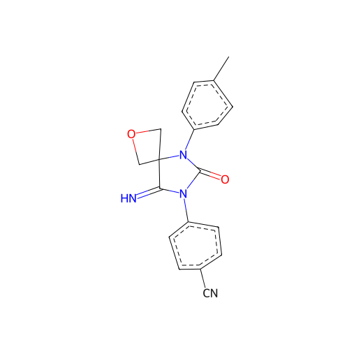 Cc1ccc(N2C(=O)N(c3ccc(C#N)cc3)C(=N)C23COC3)cc1